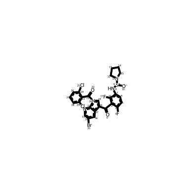 O=C(c1c(F)ccc(N[S+]([O-])N2CCCC2)c1F)c1cn(C(=O)c2c(Cl)cccc2Cl)c2ncc(Br)cc12